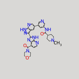 CN1CCC(C(=O)Nc2cncc(-c3cnc4[nH]nc(-c5nc6c(C(=O)N7CCOCC7)ccnc6[nH]5)c4c3)c2)CC1